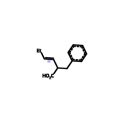 CC/C=C/C(Cc1ccccc1)C(=O)O